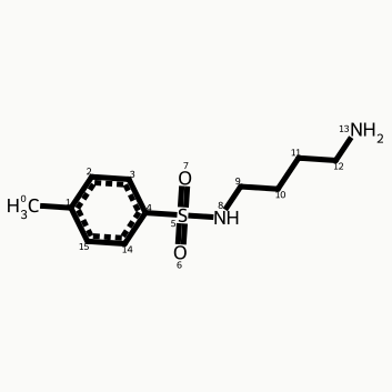 Cc1ccc(S(=O)(=O)NCCCCN)cc1